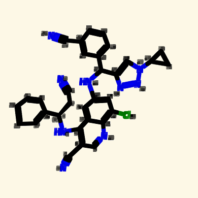 N#CC[C@@H](Nc1c(C#N)cnc2c(Cl)cc(NC(c3cccc(C#N)c3)c3cn(C4CC4)nn3)cc12)c1ccccc1